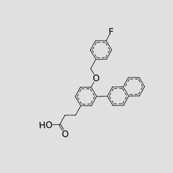 O=C(O)CCc1ccc(OCc2ccc(F)cc2)c(-c2ccc3ccccc3c2)c1